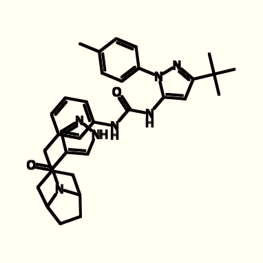 Cc1ccc(-n2nc(C(C)(C)C)cc2NC(=O)Nc2cccc(CC3CC4CCC(C3)N4C(=O)c3cn[nH]c3)c2)cc1